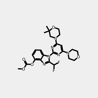 COC(=O)Oc1cccc2c1nc(C(F)F)n2-c1nc(N2CCOCC2)cc(N2CCOC(C)(C)C2)n1